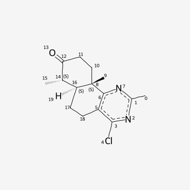 Cc1nc(Cl)c2c(n1)[C@@]1(C)CCC(=O)[C@@H](C)[C@@H]1CC2